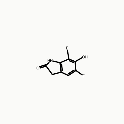 O=C1Cc2cc(F)c(O)c(F)c2N1